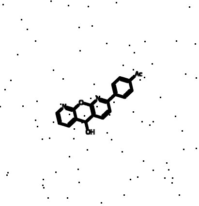 CC(=O)c1ccc(-c2ccc3c(n2)Oc2ncccc2C3O)cc1